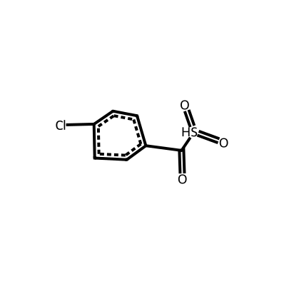 O=C(c1ccc(Cl)cc1)[SH](=O)=O